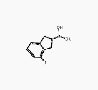 CB(O)N1Cc2cccc(F)c2C1